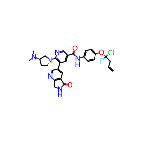 C=CCC(F)(Cl)Oc1ccc(NC(=O)c2cnc(N3CC[C@@H](N(C)C)C3)c(-c3cnc4c(c3)C(=O)NC4)c2)cc1